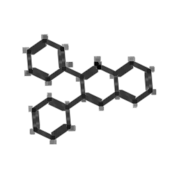 c1ccc(-c2cc3ccccc3nc2-c2ccccc2)cc1